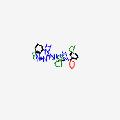 N#CN=C(NCC(Cl)(Cl)CNC(=O)c1cccc(Cl)c1)Nc1cccc(F)c1